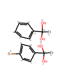 CCC(O)(O)c1ccc(Br)cc1.CCC(O)(O)c1ccccc1